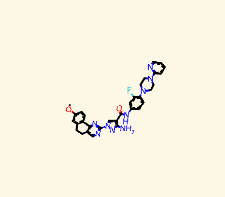 COc1ccc2c(c1)CCc1cnc(-n3cc(C(=O)Nc4ccc(N5CCN(c6ccccn6)CC5)c(F)c4)c(N)n3)nc1-2